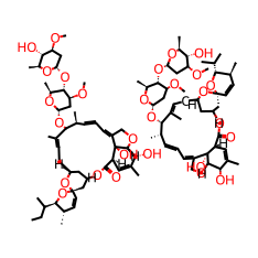 CCC(C)[C@H]1O[C@]2(C=C[C@@H]1C)C[C@@H]1C[C@@H](C/C=C(\C)[C@@H](O[C@H]3C[C@H](OC)[C@@H](O[C@H]4C[C@H](OC)[C@@H](O)[C@H](C)O4)[C@H](C)O3)[C@@H](C)/C=C/C=C3\CO[C@@H]4[C@H](O)C(C)=C[C@@H](C(=O)O1)[C@]34O)O2.CO[C@H]1C[C@H](O[C@H]2[C@H](C)O[C@@H](O[C@@H]3/C(C)=C/C[C@@H]4C[C@@H](C[C@]5(C=C[C@H](C)[C@@H](C(C)C)O5)O4)OC(=O)[C@@H]4C=C(C)[C@@H](O)[C@H]5OC/C(=C/C=C/[C@@H]3C)[C@]54O)C[C@@H]2OC)O[C@@H](C)[C@@H]1O